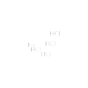 Cl.Cl.Cl.Cl.[Fe]